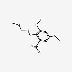 COCOCc1c(OC)cc(OC)cc1[N+](=O)[O-]